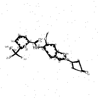 COc1cc2nn(C3CC(=O)C3)cc2cc1NC(=O)c1cccc(C(F)(F)F)n1